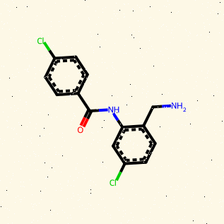 NCc1ccc(Cl)cc1NC(=O)c1ccc(Cl)cc1